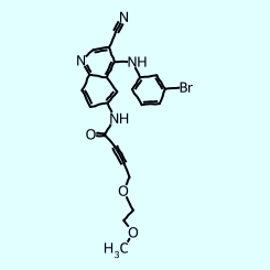 COCCOCC#CC(=O)Nc1ccc2ncc(C#N)c(Nc3cccc(Br)c3)c2c1